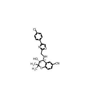 CC1(C)Oc2ccc(C#N)cc2[C@H](NCc2nc(-c3ccc(Cl)cc3)co2)[C@H]1O